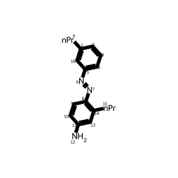 CCCc1cccc(/N=N/c2ccc(N)cc2CCC)c1